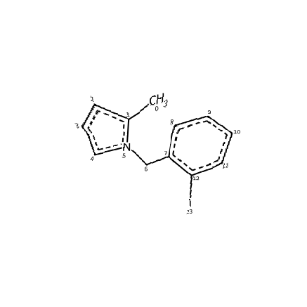 Cc1cccn1Cc1ccccc1I